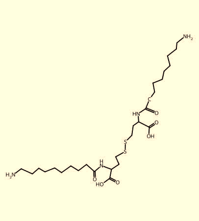 NCCCCCCCCCC(=O)NC(CCSSCCC(NC(=O)CCCCCCCCCN)C(=O)O)C(=O)O